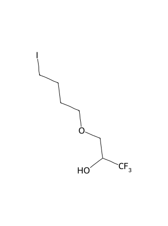 OC(COCCCCI)C(F)(F)F